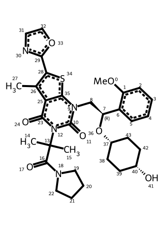 COc1ccccc1[C@H](Cn1c(=O)n(C(C)(C)C(=O)N2CCCC2)c(=O)c2c(C)c(-c3ncco3)sc21)O[C@H]1CC[C@@H](O)CC1